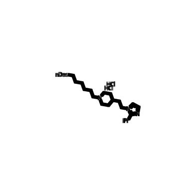 CCCCCCCCCCCCCCCCN1CCC(CCn2ccnc2C(C)C)CC1.Cl.Cl